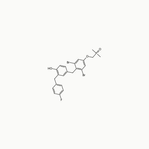 CP(C)(=O)COc1cc(Br)c(Cc2ccc(O)c(Cc3ccc(F)cc3)c2)c(Br)c1